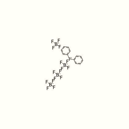 F[B-](F)(F)F.F[B-](F)(F)F.F[B-](F)(F)F.F[B-](F)(F)F.c1ccc([I+]c2ccccc2)cc1